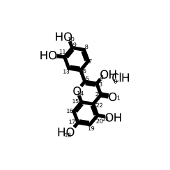 Cl.O=c1c(O)c(-c2ccc(O)c(O)c2)oc2cc(O)cc(O)c12